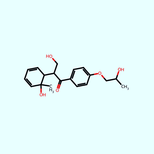 CC(O)COc1ccc(C(=O)C(CO)C2C=CC=CC2(C)O)cc1